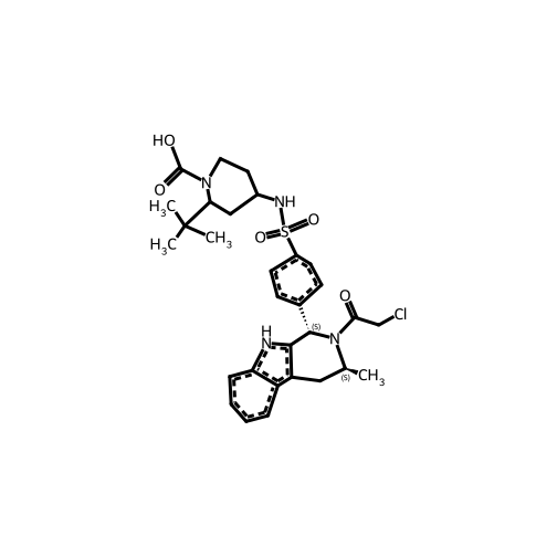 C[C@H]1Cc2c([nH]c3ccccc23)[C@H](c2ccc(S(=O)(=O)NC3CCN(C(=O)O)C(C(C)(C)C)C3)cc2)N1C(=O)CCl